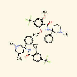 CC1CN(C)CC(NC(=O)c2ccc(C(F)(F)F)cc2C2CC2)(c2ccccc2)C1.COc1cc(C(F)(F)F)cc(OC)c1C(=O)NC1(c2ccccc2)CCCN(C)C1